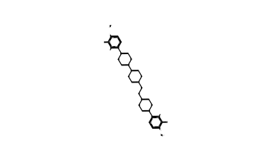 CCOc1ccc(C2CCC(CCC3CCC(C4CCC(c5ccc(OCC)c(F)c5F)CC4)CC3)CC2)c(F)c1F